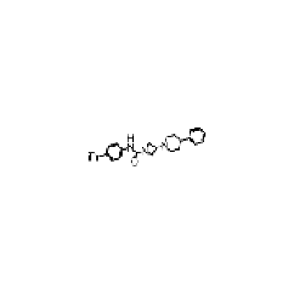 CC(C)c1ccc(NC(=O)N2CC(N3CCC(c4ccccc4)CC3)C2)cc1